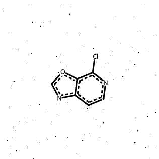 Clc1nccc2ncoc12